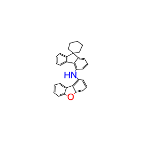 c1ccc2c(c1)-c1c(Nc3cccc4oc5ccccc5c34)cccc1C21CCCCC1